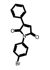 O=C1C=C(c2ccccc2)C(=O)N1c1ccc(Br)cc1